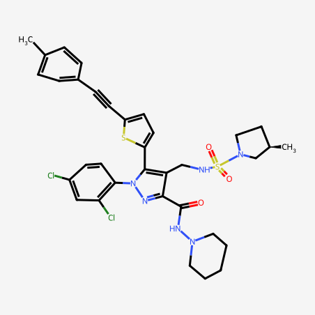 Cc1ccc(C#Cc2ccc(-c3c(CNS(=O)(=O)N4CC[C@@H](C)C4)c(C(=O)NN4CCCCC4)nn3-c3ccc(Cl)cc3Cl)s2)cc1